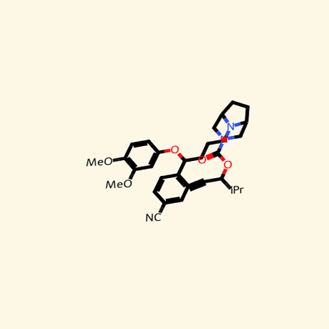 C#CC(OC(=O)N1CC2CCC(C1)N2CCCC(Oc1ccc(OC)c(OC)c1)c1ccc(C#N)cc1)C(C)C